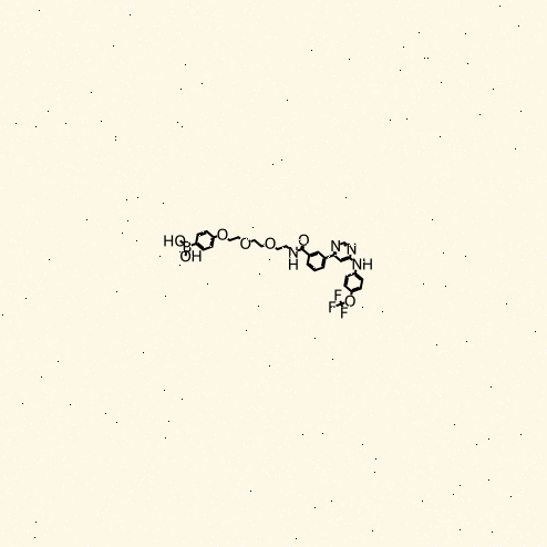 O=C(NCCOCCOCCOc1ccc(B(O)O)cc1)c1cccc(-c2cc(Nc3ccc(OC(F)(F)F)cc3)ncn2)c1